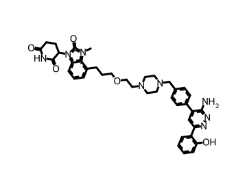 Cn1c(=O)n(C2CCC(=O)NC2=O)c2cccc(CCCOCCN3CCN(Cc4ccc(-c5cc(-c6ccccc6O)nnc5N)cc4)CC3)c21